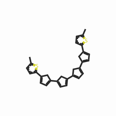 Cc1ccc(C2=CC=C(C3=CC=C(C4=CC=C(C5=CC=C(c6ccc(C)s6)C5)C4)C3)C2)s1